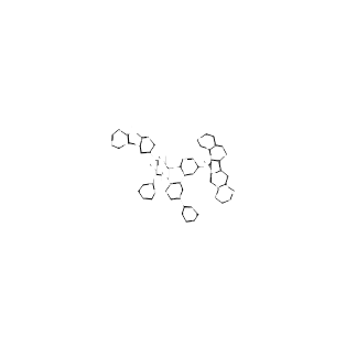 c1ccc(-c2cccc(-c3cc(-n4c5cc6ccccc6cc5c5ccc6ccccc6c54)ccc3-c3nc(-c4ccccc4)nc(-c4ccc5sc6ccccc6c5c4)n3)c2)cc1